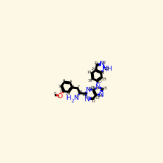 COc1cccc(CC(N)c2ncc3ncn(-c4ccc5cn[nH]c5c4)c3n2)c1